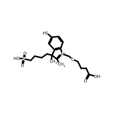 CC1=[N+](CCCCCC(=O)O)c2ccc(S)cc2C1(C)CCCCS(=O)(=O)O